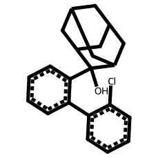 OC1(c2ccccc2-c2ccccc2Cl)C2CC3CC(C2)CC1C3